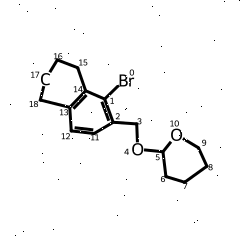 Brc1c(COC2CCCCO2)ccc2c1CCCC2